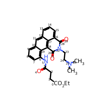 CCOC(=O)CCC(=O)Nc1cccc2cc3cccc4c3c(c12)C(=O)N(CCN(C)C)C4=O